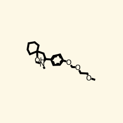 COCCOCOc1ccc(C(CC2(O)CCCCC2)N(C)C)cc1